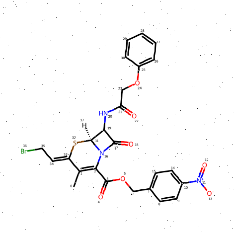 CC1=C(C(=O)OCc2ccc([N+](=O)[O-])cc2)N2C(=O)C(NC(=O)COc3ccccc3)[C@@H]2SC1=CCBr